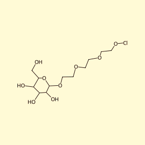 OCC1OC(OCCOCCOCCOCl)C(O)C(O)C1O